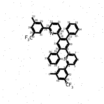 Cc1cc(-c2cccc(-c3cc(-c4ccccc4)c(-c4cccc(-c5cc(C)cc(C(F)(F)F)c5)n4)cc3-c3ccccc3)n2)cc(C(F)(F)F)c1